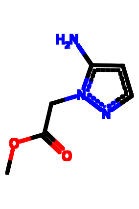 COC(=O)Cn1nccc1N